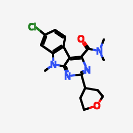 CN(C)C(=O)c1nc(C2CCOCC2)nc2c1c1ccc(Cl)cc1n2C